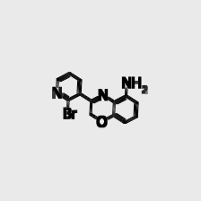 Nc1cccc2c1N=C(c1cccnc1Br)CO2